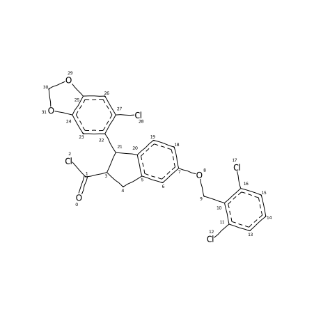 O=C(Cl)C1Cc2cc(OCc3c(Cl)cccc3Cl)ccc2C1c1cc2c(cc1Cl)OCO2